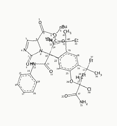 CCCCOC(=O)C1C=NC(=O)N1C(C(=O)Nc1ccccc1)(C(=O)C(C)(C)C)c1cc(OC(Cl)(CC)C(N)=O)c(C(C)(C)CC)cc1C(C)(C)CC